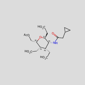 CC(=O)OC[C@@H]1O[C@@H](CC(=O)O)[C@H](NC(=O)CC2CC2)[C@H](CC(=O)O)[C@@H]1CC(=O)O